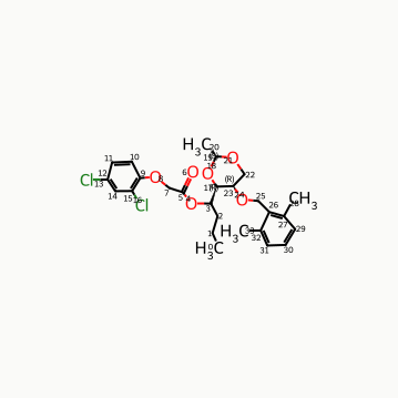 CCCC(OC(=O)COc1ccc(Cl)cc1Cl)[C@H]1O[C@@H](C)OC[C@H]1OCc1c(C)cccc1C